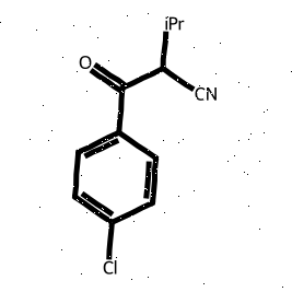 CC(C)C(C#N)C(=O)c1ccc(Cl)cc1